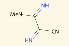 CNC(=N)C(=N)C#N